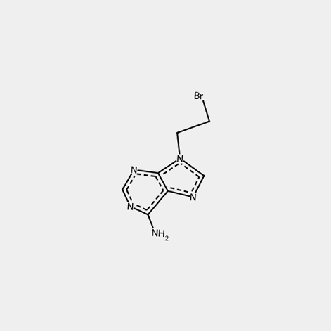 Nc1ncnc2c1ncn2CCBr